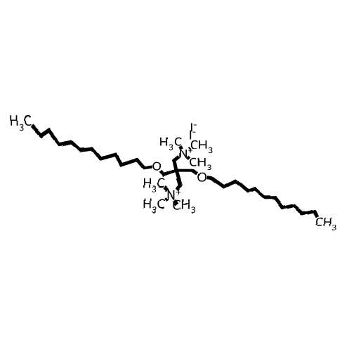 CCCCCCCCCCCCOCC(COCCCCCCCCCCCC)(C[N+](C)(C)C)C[N+](C)(C)C.[I-].[I-]